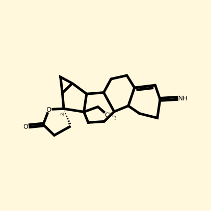 CCC12CCC3C4CCC(=N)C=C4CCC3C1C1CC1[C@@]21CCC(=O)O1